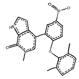 Cc1cccc(C)c1Oc1ccc([N+](=O)[O-])cc1-c1cn(C)c(=O)c2[nH]ccc12